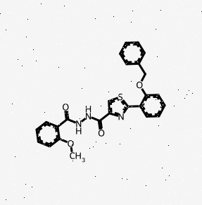 COc1ccccc1C(=O)NNC(=O)c1csc(-c2ccccc2OCc2ccccc2)n1